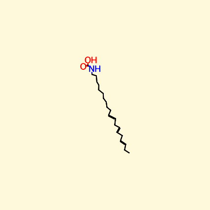 CCC=CCC=CCC=CCCCCCCCCCCNC(=O)O